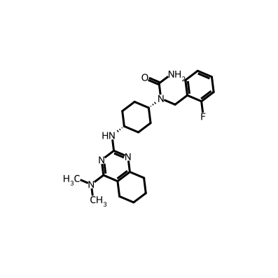 CN(C)c1nc(N[C@H]2CC[C@@H](N(Cc3ccccc3F)C(N)=O)CC2)nc2c1CCCC2